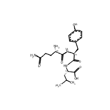 CC(C)C[C@H](NC(=O)[C@H](Cc1ccc(O)cc1)NC(=O)[C@@H](N)CCC(N)=O)C(=O)O